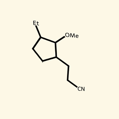 [CH2]CC1C[CH]C(CCC#N)C1OC